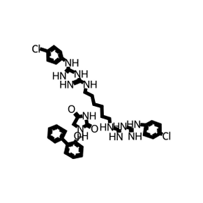 N=C(NCCCCCCNC(=N)NC(=N)Nc1ccc(Cl)cc1)NC(=N)Nc1ccc(Cl)cc1.O=C1CNC(=O)N1.Oc1ccccc1-c1ccccc1